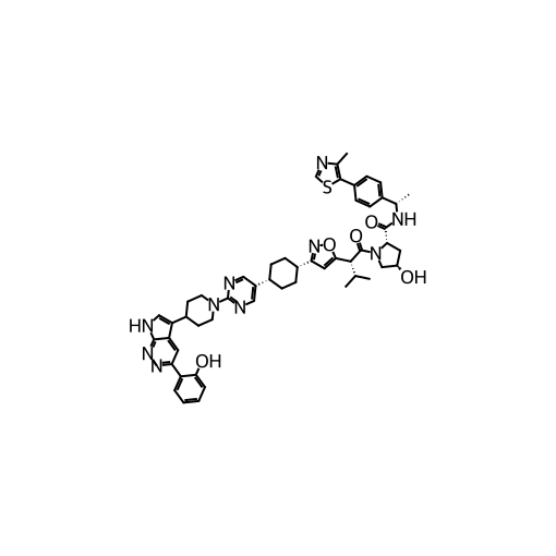 Cc1ncsc1-c1ccc([C@H](C)NC(=O)[C@@H]2C[C@@H](O)CN2C(=O)[C@@H](c2cc([C@H]3CC[C@@H](c4cnc(N5CCC(c6c[nH]c7nnc(-c8ccccc8O)cc67)CC5)nc4)CC3)no2)C(C)C)cc1